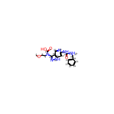 COCCN(C(=O)O)c1n[nH]c2cc(NC(=O)N[C@H](C)c3ccccc3)ncc12